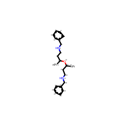 CCCC(CCNCc1ccccc1)OC(CCC)CCNCc1ccccc1